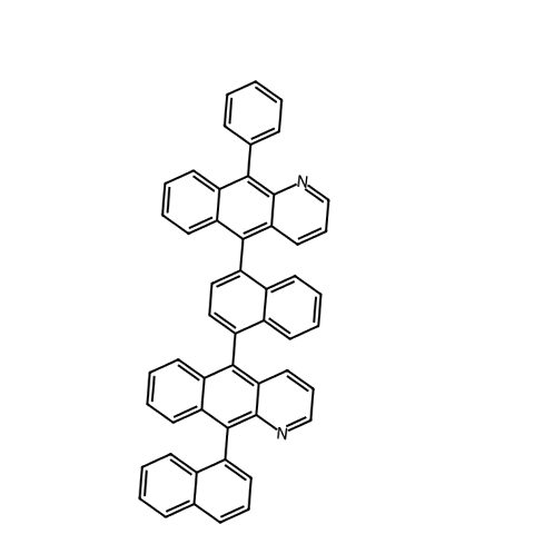 c1ccc(-c2c3ccccc3c(-c3ccc(-c4c5ccccc5c(-c5cccc6ccccc56)c5ncccc45)c4ccccc34)c3cccnc23)cc1